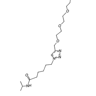 COCCOCCOCCOCc1cn(CCCCCC(=O)NC(C)C)nn1